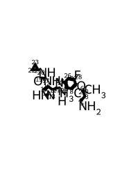 CC(C)(CCN)Oc1cc2[nH]c(-c3n[nH]cc3NC(=O)NC3CC3)nc2cc1F